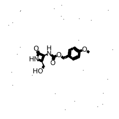 COc1ccc(COC(=O)N[C@@H]2C(=O)N[C@@H]2CO)cc1